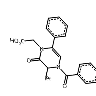 CC(C)C1C(=O)N(CC(=O)O)C(c2ccccc2)=CN1C(=O)c1ccncc1